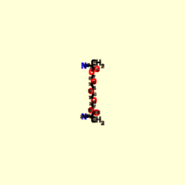 C=C(C#N)C(=O)OCCOCCOCCOCCOC(=O)C(=C)C#N